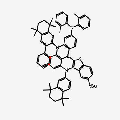 Cc1cc2c3c(c1)N(c1ccc4c(c1)C(C)(C)CCC4(C)C)c1c(sc4ccc(C(C)(C)C)cc14)B3c1ccc(N(c3ccccc3C)c3ccccc3C)cc1N2c1cc2c(cc1-c1ccccc1)C(C)(C)CCC2(C)C